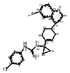 N=C(Nc1ccc(Cl)cc1)NC1(C2=CCC(c3ccnc4ccc(F)cc34)CC2)CC1